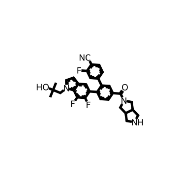 CC(C)(O)Cn1ccc2cc(-c3ccc(C(=O)N4CC5CNCC5C4)cc3-c3ccc(C#N)c(F)c3)c(F)c(F)c21